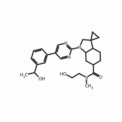 CC(O)c1cccc(-c2cnc(N3CC4(CC4)C4CCC(C(=O)N(C)CCO)CC43)nc2)c1